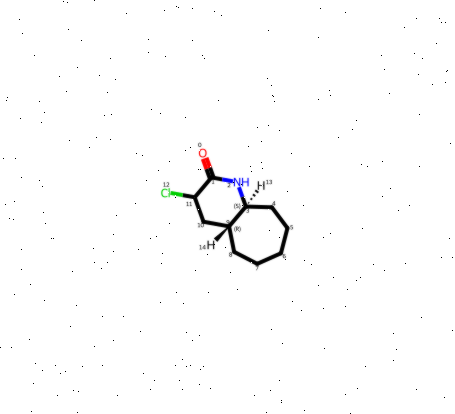 O=C1N[C@H]2CCCCC[C@@H]2CC1Cl